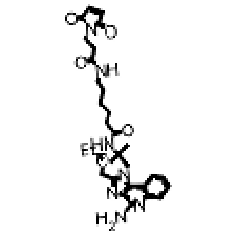 CCOCc1nc2c(N)nc3ccccc3c2n1CC(C)(C)NC(=O)CCCCCNC(=O)CCN1C(=O)C=CC1=O